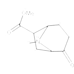 COC(=O)C1CC2C(=O)CCC1N2C